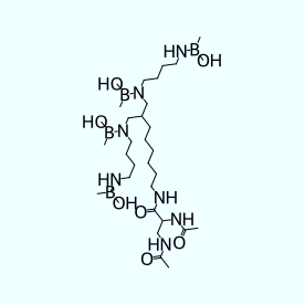 CB(O)NCCCCN(CC(CCCCCCNC(=O)C(CNC(C)=O)NC(C)=O)CN(CCCCNB(C)O)B(C)O)B(C)O